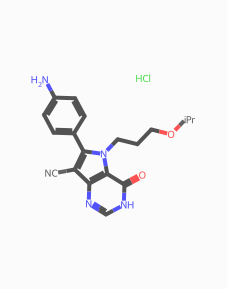 CC(C)OCCCn1c(-c2ccc(N)cc2)c(C#N)c2nc[nH]c(=O)c21.Cl